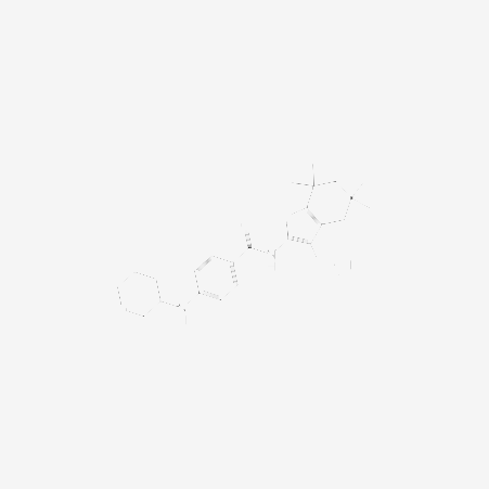 CC1(C)Cc2c(sc(NC(=O)c3ccc(NC4CCCOC4)cc3)c2C(=O)O)C(C)(C)C1